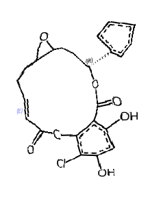 O=C1/C=C/CCC2OC2C[C@H](c2ccccc2)OC(=O)c2c(O)cc(O)c(Cl)c2C1